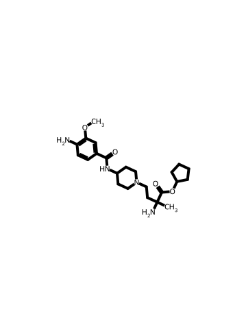 COc1cc(C(=O)NC2CCN(CCC(C)(N)C(=O)OC3CCCC3)CC2)ccc1N